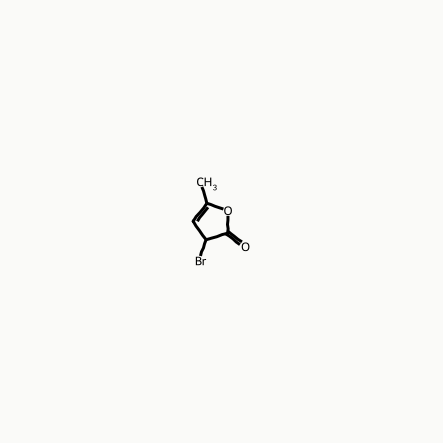 CC1=CC(Br)C(=O)O1